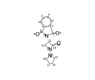 O=C1c2ccccc2C(=O)N1[C@H]1CN(N2CCCC2)C1=O